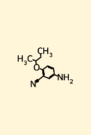 CCC(C)Oc1ccc(N)cc1C#N